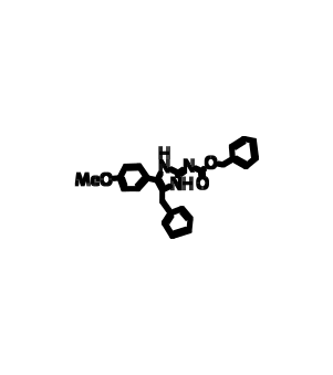 COc1ccc(-c2[nH]/c(=N/C(=O)OCc3ccccc3)[nH]c2Cc2ccccc2)cc1